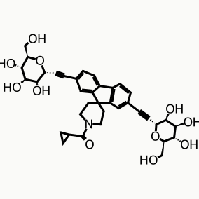 O=C(C1CC1)N1CCC2(CC1)c1cc(C#C[C@H]3O[C@H](CO)[C@@H](O)[C@H](O)[C@@H]3O)ccc1-c1ccc(C#C[C@H]3O[C@H](CO)[C@@H](O)[C@H](O)[C@@H]3O)cc12